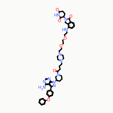 Nc1ncnc2c1c(-c1ccc(Oc3ccccc3)cc1)nn2[C@@H]1CCCN(C(=O)CCCN2CCN(CCOCCOCCNc3cccc4c3CN(C3CCC(=O)NC3=O)C4=O)CC2)C1